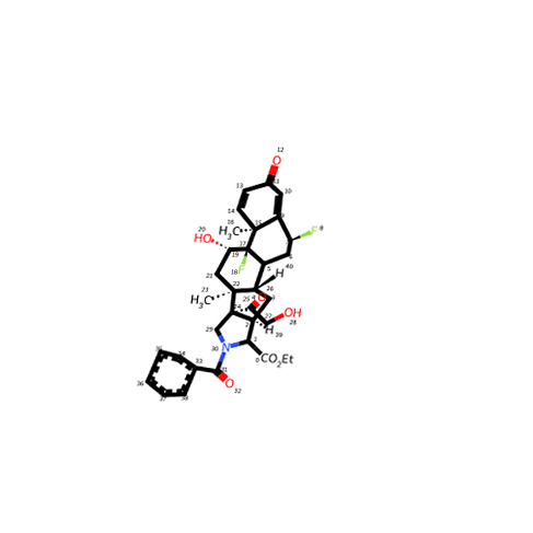 CCOC(=O)C1[C@@H]2C[C@H]3C4C[C@H](F)C5=CC(=O)C=C[C@]5(C)[C@@]4(F)[C@@H](O)C[C@]3(C)[C@]2(C(=O)CO)CN1C(=O)c1ccccc1